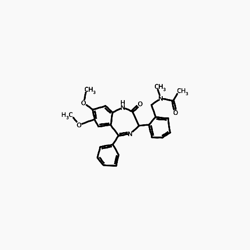 COc1cc2c(cc1OC)C(c1ccccc1)=NC(c1ccccc1CN(C)C(C)=O)C(=O)N2